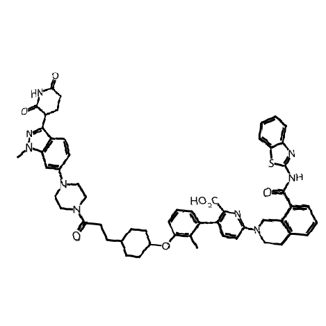 Cc1c(OC2CCC(CCC(=O)N3CCN(c4ccc5c(C6CCC(=O)NC6=O)nn(C)c5c4)CC3)CC2)cccc1-c1ccc(N2CCc3cccc(C(=O)Nc4nc5ccccc5s4)c3C2)nc1C(=O)O